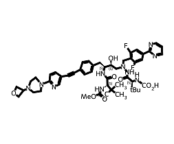 COC(=O)N[C@H](C(=O)N[C@@H](Cc1ccc(C#Cc2ccc(N3CCN(C4COC4)CC3)nc2)cc1)[C@@H](O)CN(Cc1c(F)cc(-c2ncccn2)cc1F)NC(=O)[C@@H](NC(=O)O)C(C)(C)C)C(C)(C)C(F)(F)F